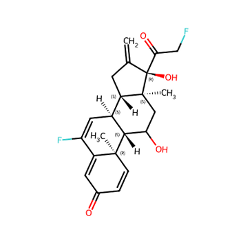 C=C1C[C@H]2[C@@H]3C=C(F)C4=CC(=O)C=C[C@]4(C)[C@H]3C(O)C[C@]2(C)[C@@]1(O)C(=O)CF